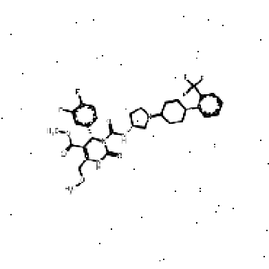 COCC1=C(C(=O)OC)[C@H](c2ccc(F)c(F)c2)N(C(=O)N[C@@H]2CCN(C3CCC(c4ccccc4C(F)(F)F)CC3)C2)C(=O)N1